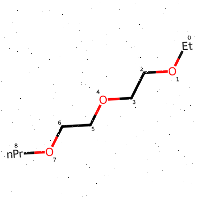 [CH2]COCCOCCOC[CH]C